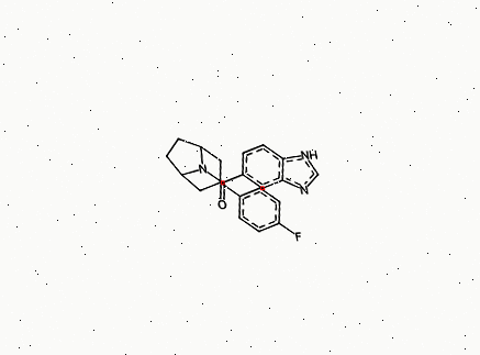 O=C(c1ccc2[nH]cnc2c1)N1C2CCC1CC(c1ccc(F)cc1)C2